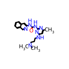 Cc1cc(NCCCN(C)C)nc(NC(=O)Nc2cc3ccccc3cn2)n1